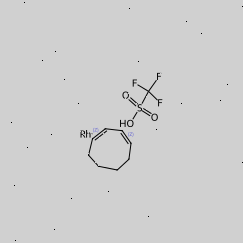 C1=C\CCCC\C=C/1.O=S(=O)(O)C(F)(F)F.[Rh]